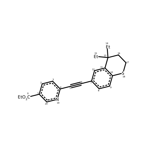 CCOC(=O)c1ccc(C#Cc2ccc3c(c2)C(CC)(CC)CCS3)nc1